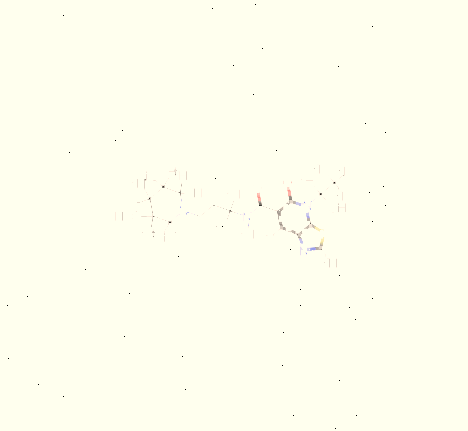 [2H]c1nc2c(O)c(C(=O)N([2H])C([2H])([2H])CCN3C([2H])([2H])C([2H])([2H])C([2H])([2H])C([2H])(C)C3([2H])[2H])c(=O)n(C([2H])(C)C([2H])([2H])[2H])c2s1